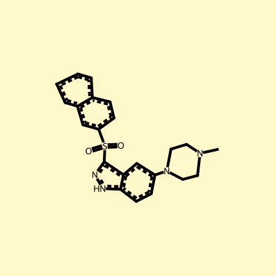 CN1CCN(c2ccc3[nH]nc(S(=O)(=O)c4ccc5ccccc5c4)c3c2)CC1